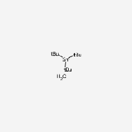 C[C](C)(C)[Sn]([C](C)(C)C)[C](C)(C)C.O